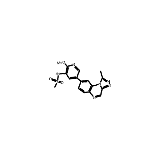 COc1ncc(-c2ccc3ncc4nnc(C)n4c3c2)cc1NS(C)(=O)=O